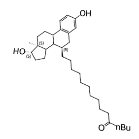 CCCCC(=O)CCCCCCCCCC[C@@H]1Cc2cc(O)ccc2C2CC[C@@]3(C)C(CC[C@@H]3O)C21